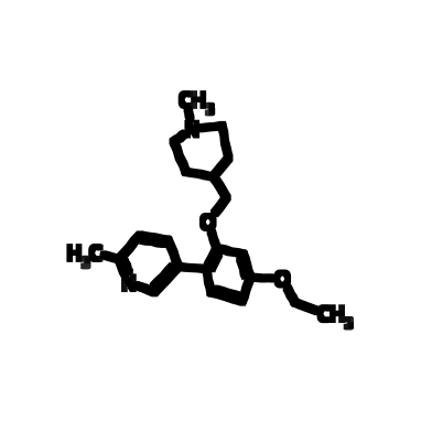 CCOc1ccc(-c2ccc(C)nc2)c(OCC2CCN(C)CC2)c1